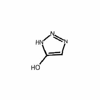 Oc1cnn[nH]1